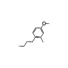 CCCCc1ccc(OC)cc1C